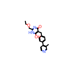 CCOCc1nc(=O)c(Cc2ccc(-c3ccncc3C)cc2)c(O)[nH]1